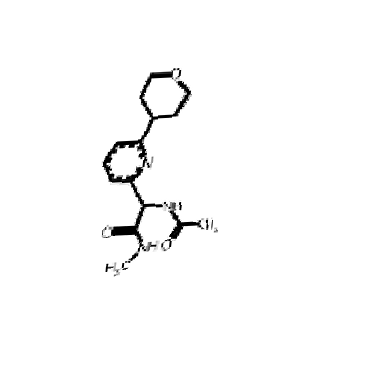 CNC(=O)C(NC(C)=O)c1cccc(C2CCOCC2)n1